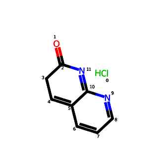 Cl.O=C1CC=c2cccnc2=N1